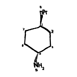 CCC[C@H]1CC[C@H](N)CC1